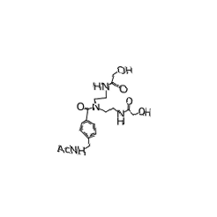 CC(=O)NCc1ccc(C(=O)N(CCNC(=O)CO)CCNC(=O)CO)cc1